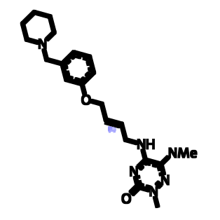 CNc1nn(C)c(=O)nc1NC/C=C/COc1cccc(CN2CCCCC2)c1